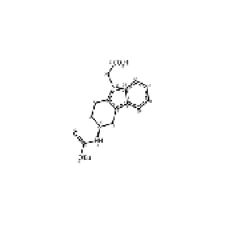 CC(C)COC(=O)N[C@H]1CCc2c(c3ccccc3n2CC(=O)O)C1